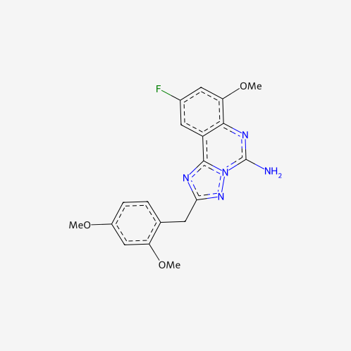 COc1ccc(Cc2nc3c4cc(F)cc(OC)c4nc(N)n3n2)c(OC)c1